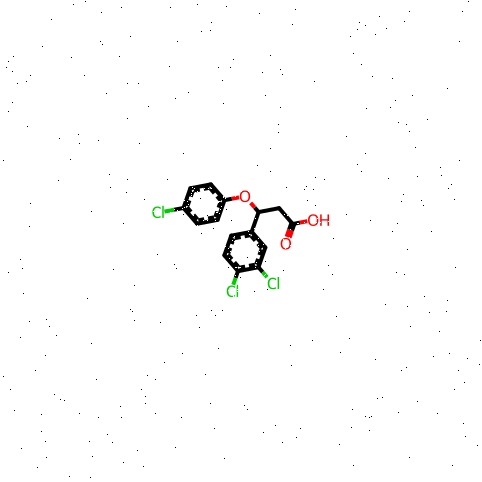 O=C(O)CC(Oc1ccc(Cl)cc1)c1ccc(Cl)c(Cl)c1